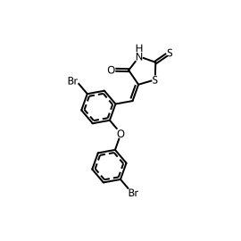 O=C1NC(=S)SC1=Cc1cc(Br)ccc1Oc1cccc(Br)c1